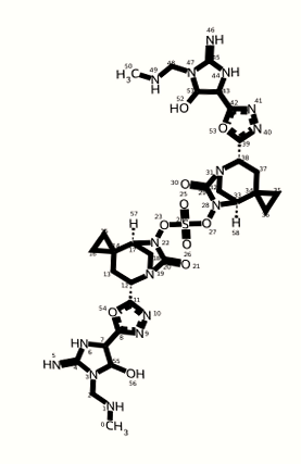 CNCN1C(=N)NC(c2nnc([C@@H]3CC4(CC4)[C@@H]4CN3C(=O)N4OS(=O)(=O)ON3C(=O)N4C[C@H]3C3(CC3)C[C@H]4c3nnc(C4NC(=N)N(CNC)C4O)o3)o2)C1O